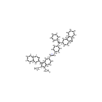 Cc1c(C)n(-c2ccc3ccccc3c2)c2cc(/C=C/c3ccc(N(c4ccccc4)c4ccc5sc6ccccc6c5c4)cc3)ccc12